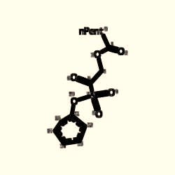 CCCCCC(=O)OCC(=O)S(=O)(=O)Oc1ccccc1